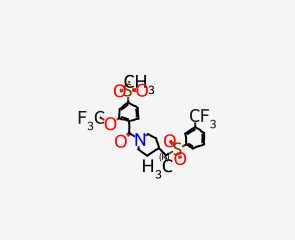 C[C@H](C1CCN(C(=O)c2ccc(S(C)(=O)=O)cc2OC(F)(F)F)CC1)S(=O)(=O)c1cccc(C(F)(F)F)c1